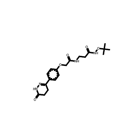 CC(C)(C)ONC(=O)CCNC(=O)COc1ccc(C2=NNC(=O)CC2)cc1